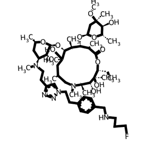 CC[C@H]1OC(=O)[C@H](C)[C@@H](O[C@H]2C[C@@](C)(OC)[C@@H](O)[C@H](C)O2)[C@H](C)[C@@H](O[C@@H]2O[C@H](C)C[C@H](N(C)CCc3cn(CCc4ccc(CNCCCF)cc4)nn3)[C@H]2O)[C@](C)(O)C[C@@H](C)CN(C)[C@H](C)[C@@H](O)[C@]1(C)O